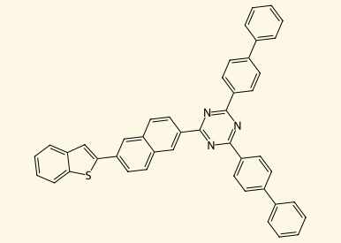 c1ccc(-c2ccc(-c3nc(-c4ccc(-c5ccccc5)cc4)nc(-c4ccc5cc(-c6cc7ccccc7s6)ccc5c4)n3)cc2)cc1